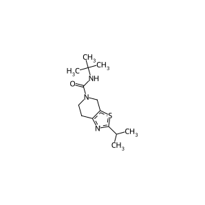 CC(C)c1nc2c(s1)CN(C(=O)NC(C)(C)C)CC2